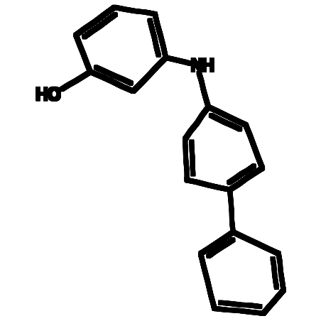 Oc1cccc(Nc2ccc(-c3ccccc3)cc2)c1